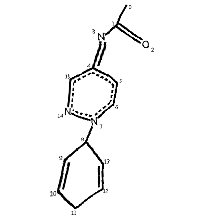 CC(=O)N=c1ccn(C2C=CCC=C2)nc1